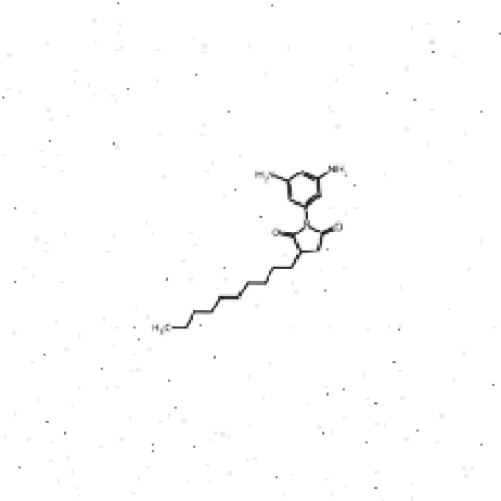 CCCCCCCCCCC1CC(=O)N(c2cc(N)cc(N)c2)C1=O